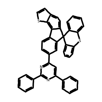 c1ccc(-c2cc(-c3ccc4c(c3)C3(c5ccccc5Sc5ccccc53)c3ccc5ccsc5c3-4)nc(-c3ccccc3)n2)cc1